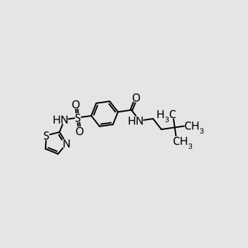 CC(C)(C)CCNC(=O)c1ccc(S(=O)(=O)Nc2nccs2)cc1